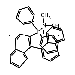 CN(C)[PH](c1ccccc1)(c1ccccc1)c1ccc2ccccc2c1-c1cccc2ccccc12